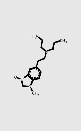 CCCN(CCN)CCc1ccc2c(c1)[S+]([O-])CN2C